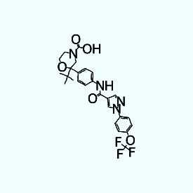 CC(C)(C)C1(c2ccc(NC(=O)c3cnn(-c4ccc(OC(F)(F)F)cc4)c3)cc2)CN(C(=O)O)CCO1